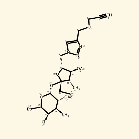 C#CCOCc1cn(C[C@H]2O[C@@](CCl)(O[C@H]3O[C@H](CC)[C@H](Cl)[C@H](C)[C@H]3OC(C)=O)[C@@H](C)[C@@H]2OC(C)=O)nn1